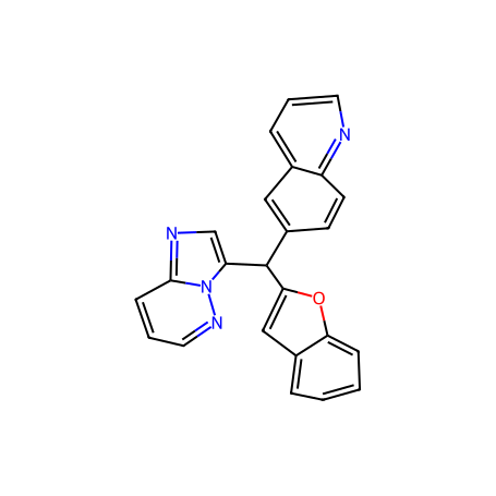 c1cnc2ccc(C(c3cc4ccccc4o3)c3cnc4cccnn34)cc2c1